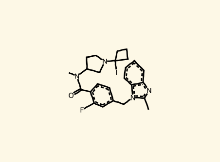 Cc1nc2ccccc2n1Cc1ccc(C(=O)N(C)C2CCN(C3(I)CCC3)C2)c(F)c1